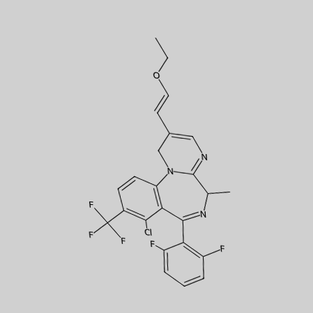 CCO/C=C/C1=CN=C2C(C)N=C(c3c(F)cccc3F)c3c(ccc(C(F)(F)F)c3Cl)N2C1